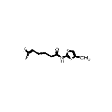 Cc1csc(NC(=O)CCCC=C(F)F)n1